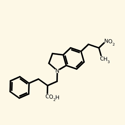 CC(Cc1ccc2c(c1)CCN2CC(Cc1ccccc1)C(=O)O)[N+](=O)[O-]